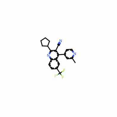 Cc1cc(-c2c(C#N)c(C3CCCC3)nc3ccc(C(F)(F)F)cc23)ccn1